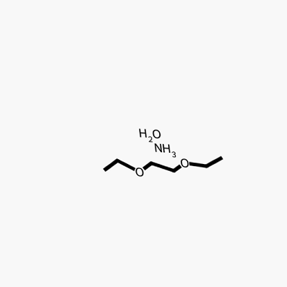 CCOCCOCC.N.O